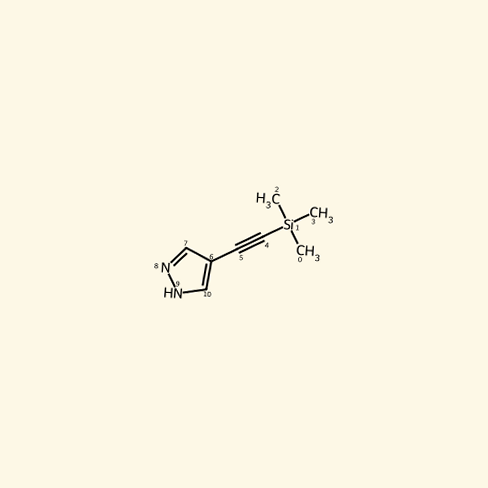 C[Si](C)(C)C#Cc1cn[nH]c1